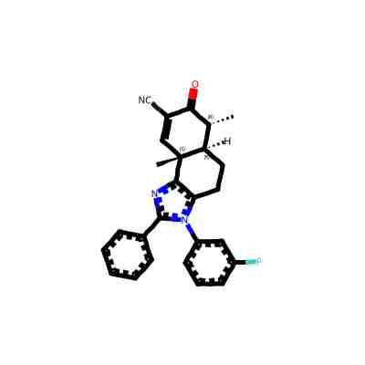 C[C@H]1C(=O)C(C#N)=C[C@@]2(C)c3nc(-c4ccccc4)n(-c4cccc(F)c4)c3CC[C@H]12